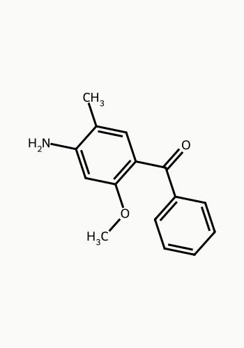 COc1cc(N)c(C)cc1C(=O)c1ccccc1